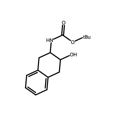 CC(C)(C)OC(=O)NC1Cc2ccccc2CC1O